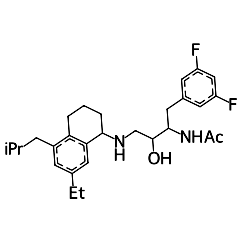 CCc1cc(CC(C)C)c2c(c1)C(NCC(O)C(Cc1cc(F)cc(F)c1)NC(C)=O)CCC2